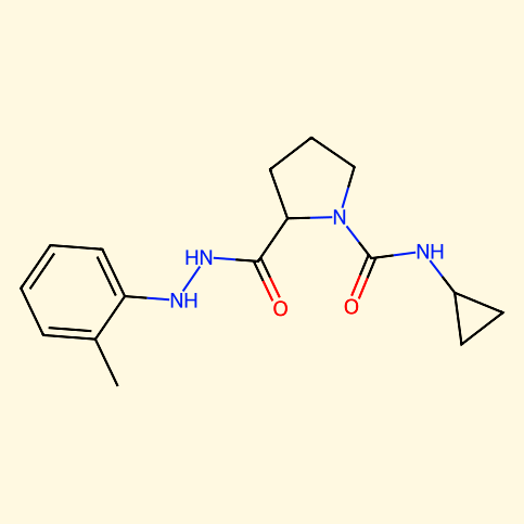 Cc1ccccc1NNC(=O)C1CCCN1C(=O)NC1CC1